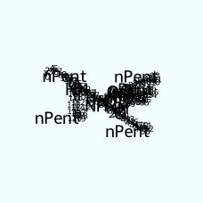 CCCCC/C=C\C/C=C\CCCCCCCCOCC(CNCCCN(CCCN)CCCCN(CCCNCC(COCCCCCCCC/C=C\C/C=C\CCCCC)OCCCCCCC/C=C\C/C=C\CCCCC)CCCNC(=O)NCC(COCCCCCCCC/C=C\C/C=C\CCCCC)OCCCCCCC/C=C\C/C=C\CCCCC)OCCCCCCC/C=C\C/C=C\CCCCC